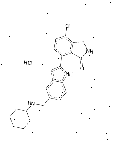 Cl.O=C1NCc2c(Cl)ccc(-c3cc4cc(CNC5CCCCC5)ccc4[nH]3)c21